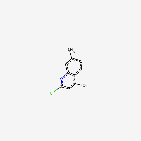 Cc1ccc2c(C(F)(F)F)cc(Cl)nc2c1